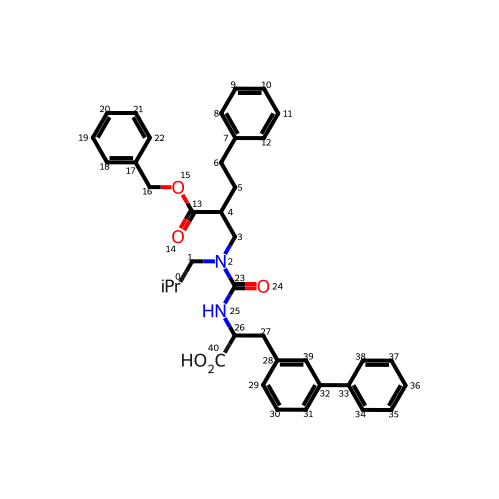 CC(C)CN(CC(CCc1ccccc1)C(=O)OCc1ccccc1)C(=O)NC(Cc1cccc(-c2ccccc2)c1)C(=O)O